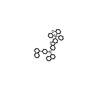 c1ccc([Si]2(c3ccc4c(c3)sc3cc(N(c5ccc(-c6cccc7ccccc67)cc5)c5cccc6ccccc56)ccc34)c3ccccc3Oc3ccccc32)cc1